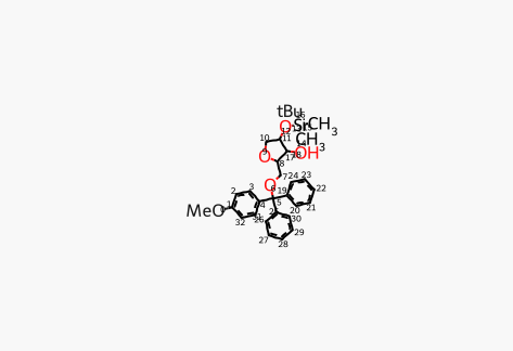 COc1ccc(C(OCC2OCC(O[Si](C)(C)C(C)(C)C)C2O)(c2ccccc2)c2ccccc2)cc1